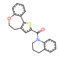 O=C(c1cc2c(s1)-c1ccccc1OCC2)N1CCCc2ccccc21